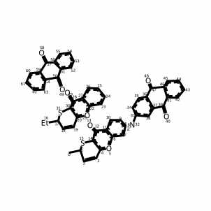 CC1C=Cc2oc3ccccc3c(=O)c2S1.CCC1C=Cc2oc3ccccc3c(=O)c2S1.Nc1ccc2c(c1)C(=O)c1ccccc1C2=O.O=C1c2ccccc2C(=O)c2ccccc21